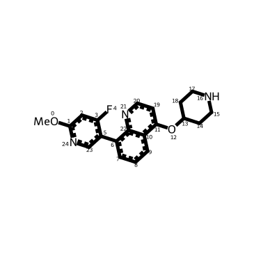 COc1cc(F)c(-c2cccc3c(OC4CCNCC4)ccnc23)cn1